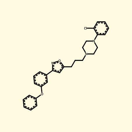 Clc1ccccc1N1CCN(CCCc2cc(-c3cccc(Oc4ccccc4)c3)no2)CC1